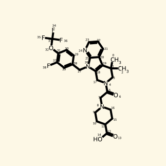 CC1(C)CN(C(=O)CN2CCC(C(=O)O)CC2)Cc2c1c1cccnc1n2Cc1ccc(OC(F)(F)F)c(F)c1